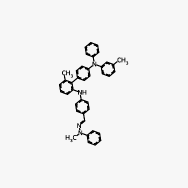 Cc1cccc(N(c2ccccc2)c2ccc(-c3c(C)cccc3Nc3ccc(C=NN(C)c4ccccc4)cc3)cc2)c1